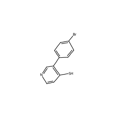 Sc1ccncc1-c1ccc(Br)cc1